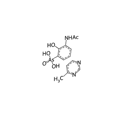 CC(=O)Nc1cccc([As](=O)(O)O)c1O.Cc1ccncn1